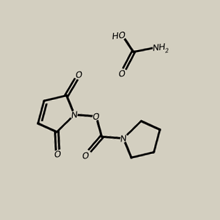 NC(=O)O.O=C(ON1C(=O)C=CC1=O)N1CCCC1